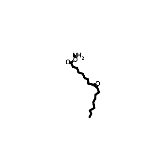 CCCCCCCCC1OC1CCCCCCCC(=O)ON